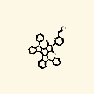 C/C=C/c1cccc(N2C(=O)c3c(c4c(c5ccccc5n4C4C=CC=CC4)c4c5ccccc5n(-c5ccccc5)c34)C2=O)n1